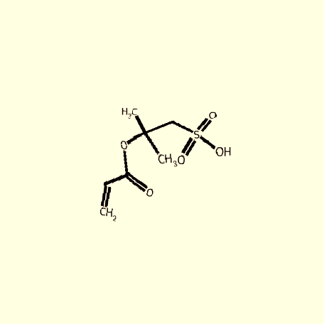 C=CC(=O)OC(C)(C)CS(=O)(=O)O